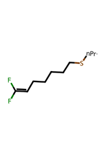 CC[CH]SCCCCCC=C(F)F